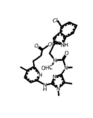 COC(=O)CCc1nc(Nc2nc(N(C)C(=O)N(C=O)Cc3cc4c(Cl)cccc4[nH]3)c(C)n2C)ccc1C